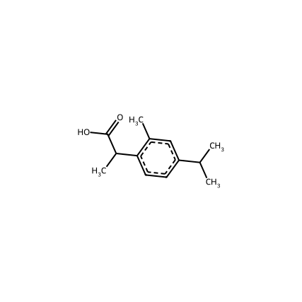 Cc1cc(C(C)C)ccc1C(C)C(=O)O